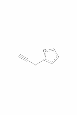 C#C[CH]c1ccco1